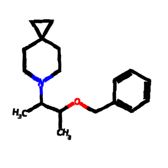 CC(OCc1ccccc1)C(C)N1CCC2(CC1)CC2